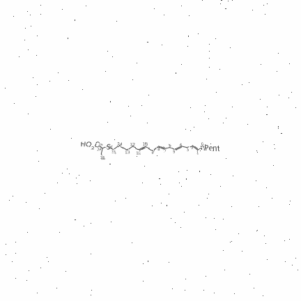 CCCCCC=CCC=CCC=CCC=CCCCCSC(C)C(=O)O